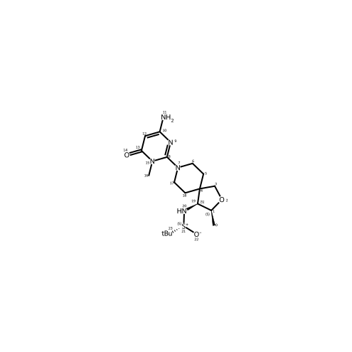 C[C@@H]1OCC2(CCN(c3nc(N)cc(=O)n3C)CC2)[C@@H]1N[S@+]([O-])C(C)(C)C